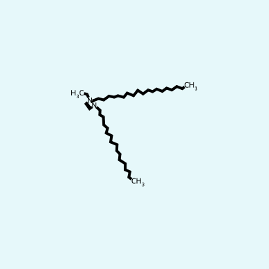 CCCCCCCCCCCCCCCCCCCC1N(CC)C=CN1CCCCCCCCCCCCCCCCC